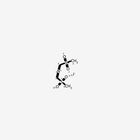 CS(=O)(=O)C=[N+]=CS(C)(=O)=O.[I-]